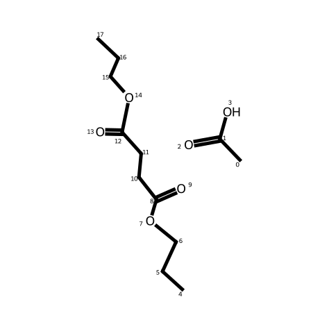 CC(=O)O.CCCOC(=O)CCC(=O)OCCC